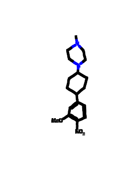 COc1cc(C2CCC(N3CCN(C)CC3)CC2)ccc1[N+](=O)[O-]